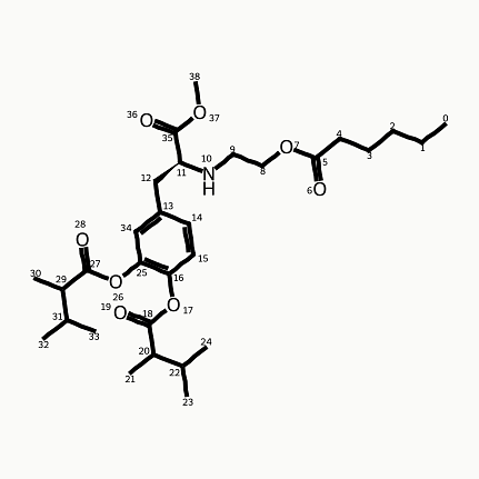 CCCCCC(=O)OCCN[C@@H](Cc1ccc(OC(=O)C(C)C(C)C)c(OC(=O)C(C)C(C)C)c1)C(=O)OC